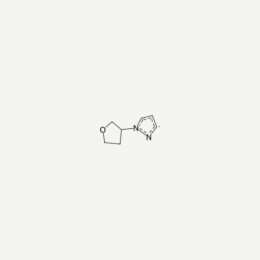 [c]1ccn(C2CCOC2)n1